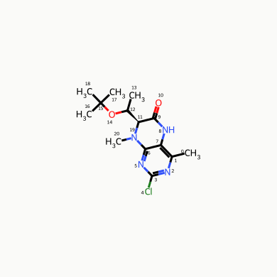 Cc1nc(Cl)nc2c1NC(=O)[C@H](C(C)OC(C)(C)C)N2C